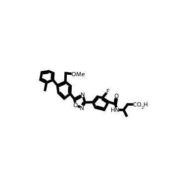 COCc1cc(-c2nc(-c3ccc(C(=O)NC(C)CC(=O)O)c(F)c3)no2)ccc1-c1ccccc1C